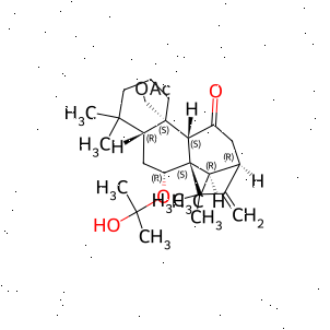 C=C1[C@@H]2CC(=O)[C@H]3[C@]4(COC(C)=O)CCCC(C)(C)[C@H]4C[C@@H](OC(C)(C)O)[C@]3([C@@H]2C)C1(C)C